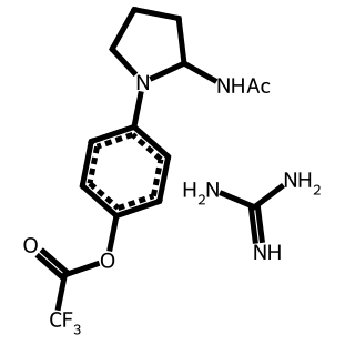 CC(=O)NC1CCCN1c1ccc(OC(=O)C(F)(F)F)cc1.N=C(N)N